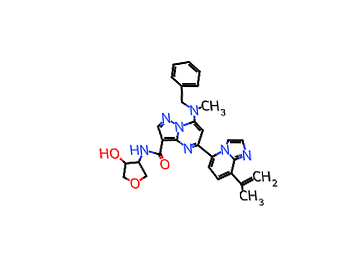 C=C(C)c1ccc(-c2cc(N(C)Cc3ccccc3)n3ncc(C(=O)NC4COCC4O)c3n2)n2ccnc12